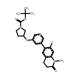 CN1C(=O)CCc2cc(-c3cncc(OC4CCN(C(=O)OC(C)(C)C)C4)c3)c(F)cc21